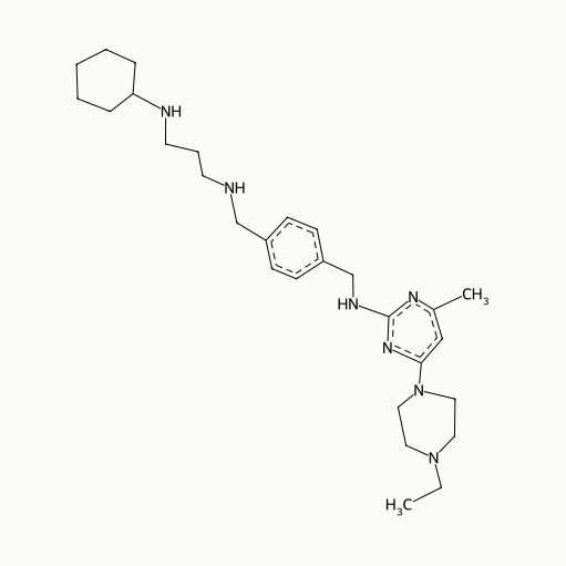 CCN1CCN(c2cc(C)nc(NCc3ccc(CNCCCNC4CCCCC4)cc3)n2)CC1